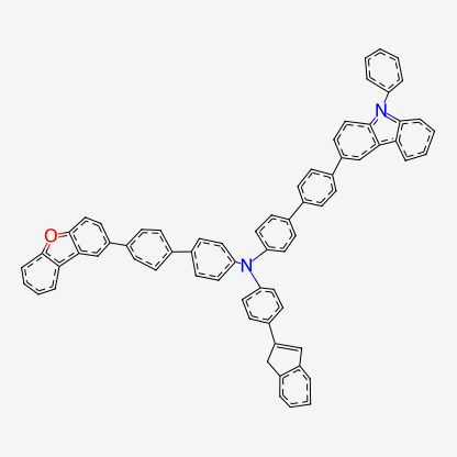 C1=C(c2ccc(N(c3ccc(-c4ccc(-c5ccc6oc7ccccc7c6c5)cc4)cc3)c3ccc(-c4ccc(-c5ccc6c(c5)c5ccccc5n6-c5ccccc5)cc4)cc3)cc2)Cc2ccccc21